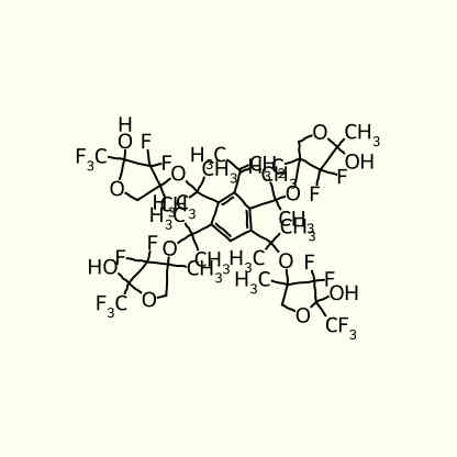 C=C(C)c1c(C(C)(C)OC2(C)COC(C)(O)C2(F)F)c(C(C)(C)OC2(C)COC(O)(C(F)(F)F)C2(F)F)cc(C(C)(C)OC2(C)COC(O)(C(F)(F)F)C2(F)F)c1C(C)(C)OC1(C)COC(O)(C(F)(F)F)C1(F)F